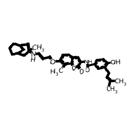 CC(C)=CCc1cc(C(=O)Nc2cc3ccc(OCCCNC4(C)CC5CCCC(C5)C4)c(C)c3oc2=O)ccc1O